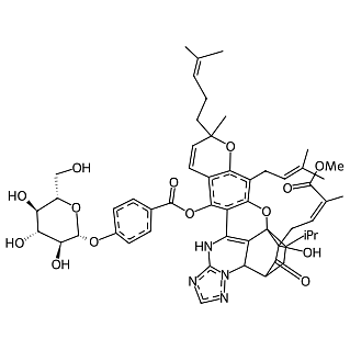 COC(=O)/C(C)=C\CC1(O)C(=O)C2CC(C(C)C)C13Oc1c(CC=C(C)C)c4c(c(OC(=O)c5ccc(O[C@H]6O[C@@H](CO)[C@H](O)[C@@H](O)[C@@H]6O)cc5)c1C1=C3C2n2ncnc2N1)C=CC(C)(CCC=C(C)C)O4